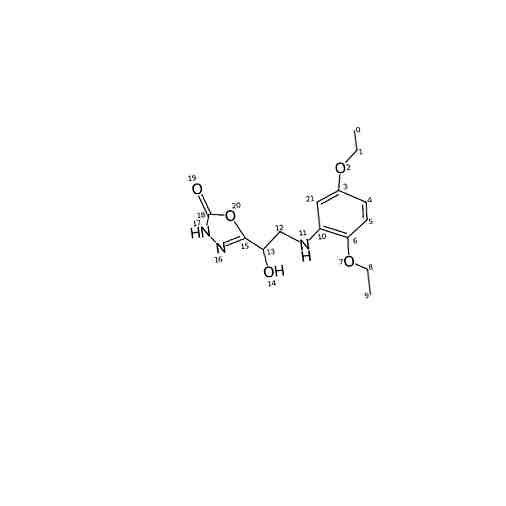 CCOc1ccc(OCC)c(NCC(O)c2n[nH]c(=O)o2)c1